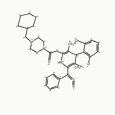 O=S=C(C1=C(C(=O)O)C(c2c(Cl)cccc2Cl)C(C(=O)O)=C(CC(=O)N2CCN(CC3CCCCC3)CC2)N1)c1ccccc1